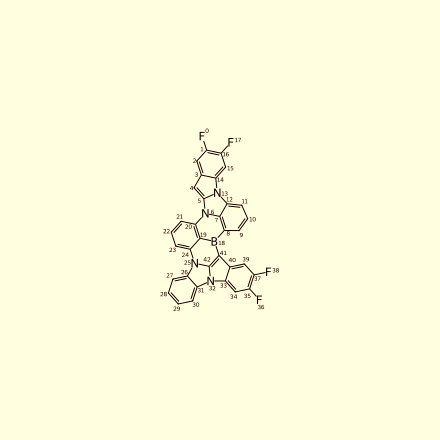 Fc1cc2cc3n4c5c(cccc5n3c2cc1F)B1c2c-4cccc2-n2c3ccccc3n3c4cc(F)c(F)cc4c1c23